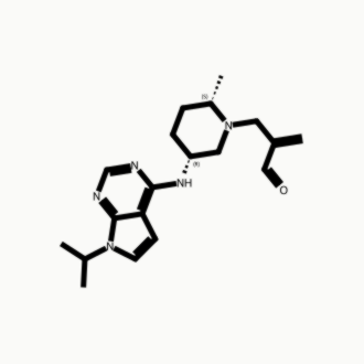 C=C(C=O)CN1C[C@H](Nc2ncnc3c2ccn3C(C)C)CC[C@@H]1C